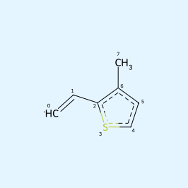 [CH]=Cc1sccc1C